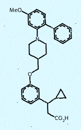 COc1ccc(-c2ccccc2)c(N2CCC(COc3cccc(C(CC(=O)O)C4CC4)c3)CC2)c1